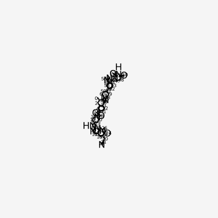 CC(Cc1cc(S(=O)(=O)N2CCC(Nc3ncc4cc(CC#N)c(=O)n(C)c4n3)CC2)ccc1C#N)CN1CCC(c2ccc3c(N4CCC(=O)NC4=O)nn(C)c3c2)CC1